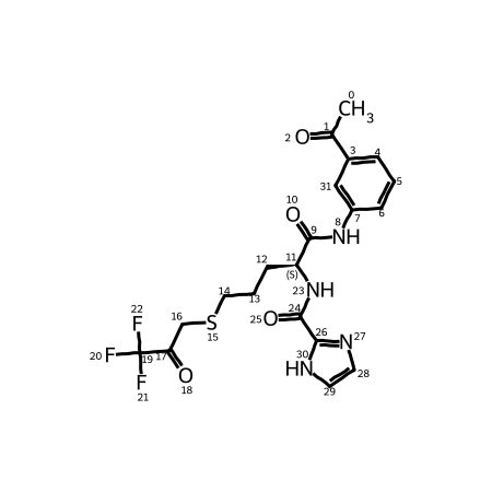 CC(=O)c1cccc(NC(=O)[C@H](CCCSCC(=O)C(F)(F)F)NC(=O)c2ncc[nH]2)c1